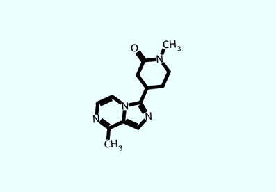 Cc1nccn2c(C3CCN(C)C(=O)C3)ncc12